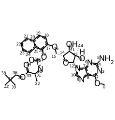 COc1nc(N)nc2c1ncn2[C@@H]1O[C@H](COc2ccc3ccccc3c2O/[P+]([O-])=N/[C@@H](C)C(=O)OCC(C)(C)C)[C@@H](O)[C@@]1(C)O